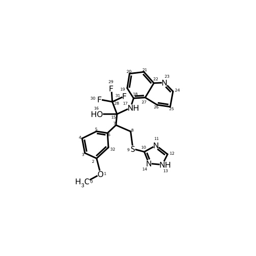 COc1cccc(C(CSc2nc[nH]n2)C(O)(Nc2cccc3ncccc23)C(F)(F)F)c1